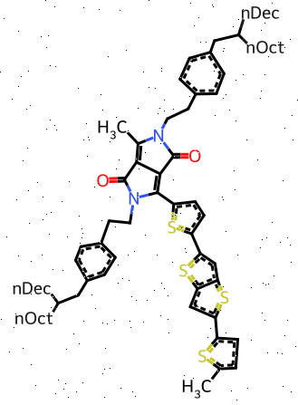 CCCCCCCCCCC(CCCCCCCC)Cc1ccc(CCN2C(=O)C3=C(c4ccc(-c5cc6sc(-c7ccc(C)s7)cc6s5)s4)N(CCc4ccc(CC(CCCCCCCC)CCCCCCCCCC)cc4)C(=O)C3=C2C)cc1